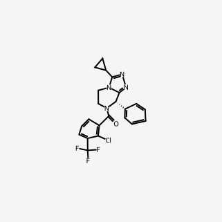 O=C(c1cccc(C(F)(F)F)c1Cl)N1CCn2c(C3CC3)nnc2[C@@H]1c1ccccc1